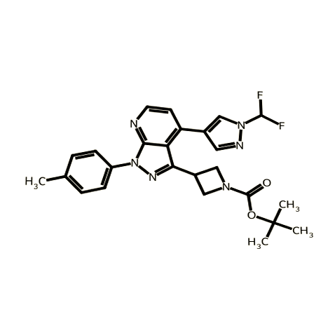 Cc1ccc(-n2nc(C3CN(C(=O)OC(C)(C)C)C3)c3c(-c4cnn(C(F)F)c4)ccnc32)cc1